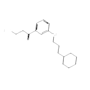 CCCC(=O)c1cccc(NCCCC2CCCCC2)c1